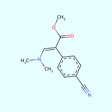 COC(=O)/C(=C/N(C)C)c1ccc(C#N)cc1